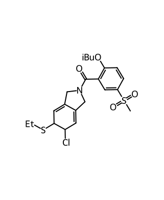 CCSC1C=C2CN(C(=O)c3cc(S(C)(=O)=O)ccc3OCC(C)C)CC2=CC1Cl